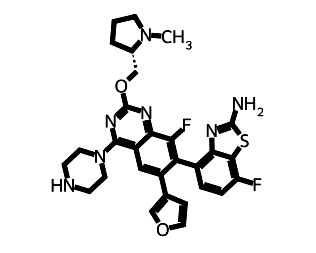 CN1CCC[C@H]1COc1nc(N2CCNCC2)c2cc(-c3ccoc3)c(-c3ccc(F)c4sc(N)nc34)c(F)c2n1